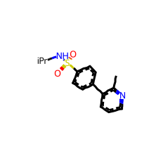 Cc1ncccc1-c1ccc(S(=O)(=O)NC(C)C)cc1